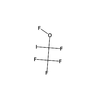 FOC(F)(I)C(F)(F)F